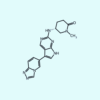 CN1C[C@H](Nc2ncc3c(-c4ccc5nncn5c4)c[nH]c3n2)CCC1=O